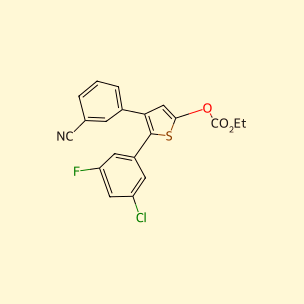 CCOC(=O)Oc1cc(-c2cccc(C#N)c2)c(-c2cc(F)cc(Cl)c2)s1